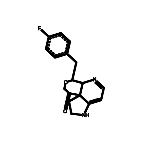 O=C1COC(Cc2ccc(F)cc2)C2N=CC=C3NCCC132